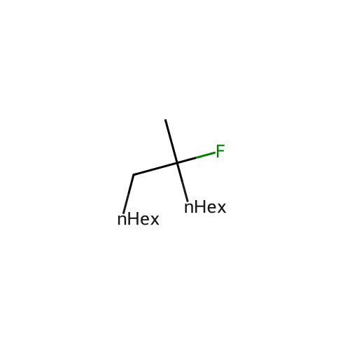 CCCCCCCC(C)(F)CCCCCC